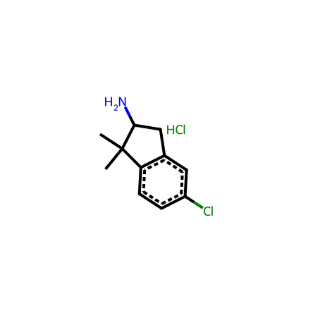 CC1(C)c2ccc(Cl)cc2CC1N.Cl